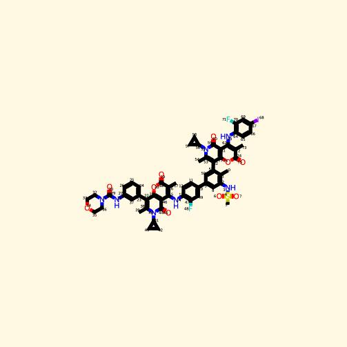 Cc1c(NS(C)(=O)=O)cc(-c2ccc(Nc3c(C)c(=O)oc4c(-c5cccc(NC(=O)N6CCOCC6)c5)c(C)n(C5CC5)c(=O)c34)c(F)c2)cc1-c1c(C)n(C2CC2)c(=O)c2c(Nc3ccc(I)cc3F)c(C)c(=O)oc12